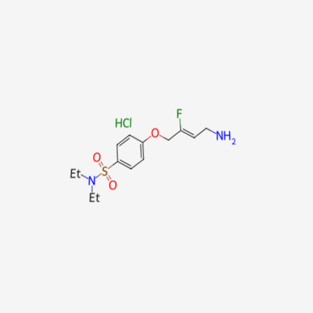 CCN(CC)S(=O)(=O)c1ccc(OC/C(F)=C/CN)cc1.Cl